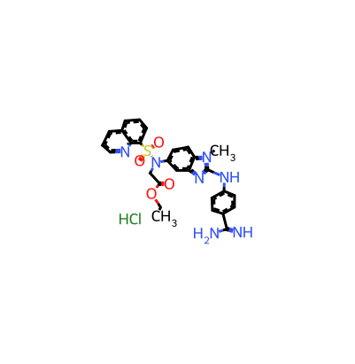 CCOC(=O)CN(c1ccc2c(c1)nc(Nc1ccc(C(=N)N)cc1)n2C)S(=O)(=O)c1cccc2cccnc12.Cl